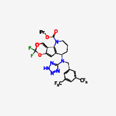 CC(C)OC(=O)N1CCCC(N(Cc2cc(C(F)(F)F)cc(C(F)(F)F)c2)c2nn[nH]n2)C2=C1C1=COC(F)(F)OC1=C2